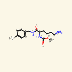 Cc1ccc(CNC(=O)C(CCCCN)NC(=O)OC(C)(C)C)cc1